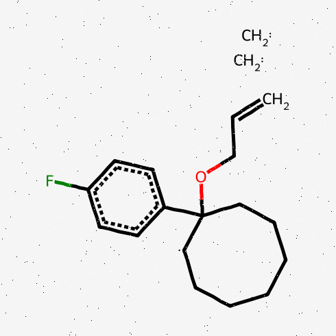 C=CCOC1(c2ccc(F)cc2)[CH]CCCCCC1.[CH2].[CH2]